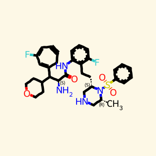 C[C@@H]1CNC[C@H](CCc2c(F)cccc2NC(=O)[C@@H](N)C(C2=CC(F)=CC#CC2)C2CCOCC2)N1S(=O)(=O)c1ccccc1